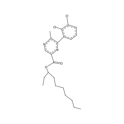 CCCCCCCC(CC)OC(=O)c1cnc(C)c(-c2cccc(Cl)c2Cl)n1